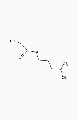 CC(C)CCCNC(=O)CO